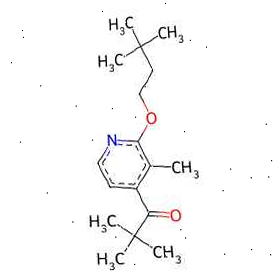 Cc1c(C(=O)C(C)(C)C)ccnc1OCCC(C)(C)C